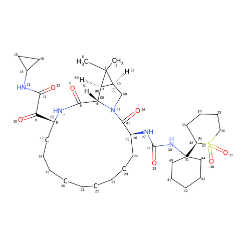 CC1(C)[C@@H]2[C@H]3C(=O)N[C@H](C(=O)C(=O)NC4CC4)CCCCCCCCC[C@H](NC(=O)NC4([C@H]5CCCCS5(=O)=O)CCCCC4)C(=O)N3C[C@@H]21